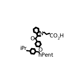 CCCCCC(Oc1ccc(C(=O)c2cn(CCCC(=O)O)c3ccccc23)cc1)c1ccc(CC(C)C)cc1